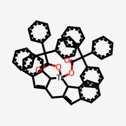 O=C([O][Ti]1([O]C(=O)C(c2ccccc2)(c2ccccc2)c2ccccc2)[CH]2C(=Cc3ccccc32)CC2=Cc3ccccc3[CH]21)C(c1ccccc1)(c1ccccc1)c1ccccc1